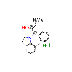 CNC[C@@H](O)[C@H](c1ccccc1)N1CCc2cccc(C)c21.Cl